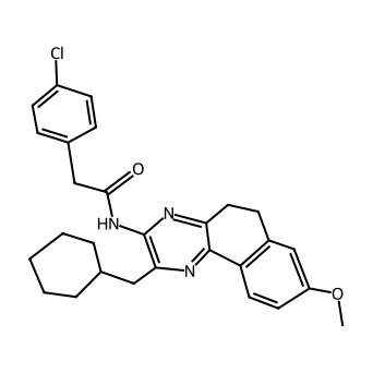 COc1ccc2c(c1)CCc1nc(NC(=O)Cc3ccc(Cl)cc3)c(CC3CCCCC3)nc1-2